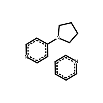 c1cc(N2CCCC2)ccn1.c1ccncc1